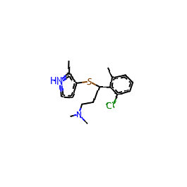 Cc1cccc(Cl)c1C(CCN(C)C)Sc1cc[nH]c1C